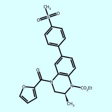 CCOC(=O)N1c2ccc(-c3ccc(S(C)(=O)=O)cc3)cc2N(C(=O)c2ccco2)C[C@@H]1C